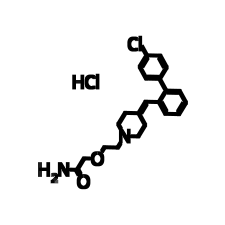 Cl.NC(=O)COCCN1CCC(=Cc2ccccc2-c2ccc(Cl)cc2)CC1